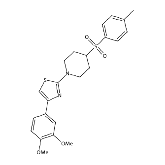 COc1ccc(-c2csc(N3CCC(S(=O)(=O)c4ccc(C)cc4)CC3)n2)cc1OC